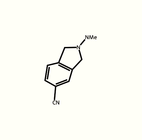 CNN1Cc2ccc(C#N)cc2C1